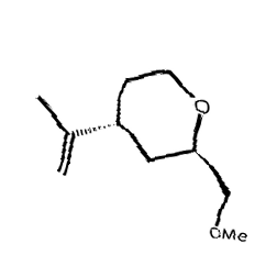 C=C(C)[C@@H]1CCO[C@@H](COC)C1